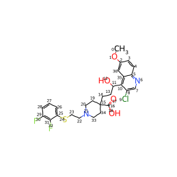 COc1ccc2ncc(Cl)c(C(O)CCC3(C(=O)O)CCN(CCSc4cccc(F)c4F)CC3)c2c1